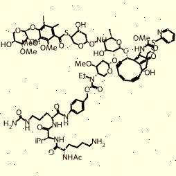 CCN(C(=O)OCc1ccc(NC(=O)[C@H](CCCNC(N)=O)NC(=O)[C@@H](NC(=O)[C@H](CCCCN)NC(C)=O)C(C)C)cc1)[C@H]1CO[C@@H](O[C@H]2[C@H](O[C@H]3C#C/C=C\C#C[C@]4(O)CC(=O)C(NC(=O)OC)=C3/C4=C\CSSc3ccccn3)O[C@H](C)[C@@H](NO[C@H]3C[C@H](O)[C@H](SC(=O)c4c(C)c(I)c(O[C@@H]5O[C@@H](C)[C@H](O)[C@@H](OC)[C@H]5O)c(OC)c4OC)[C@@H](C)O3)[C@@H]2O)C[C@@H]1OC